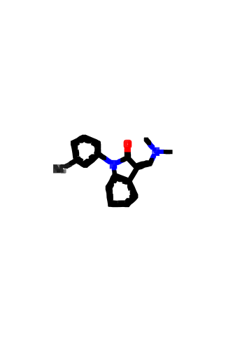 CN(C)C=C1C(=O)N(c2cccc(C#N)c2)c2ccccc21